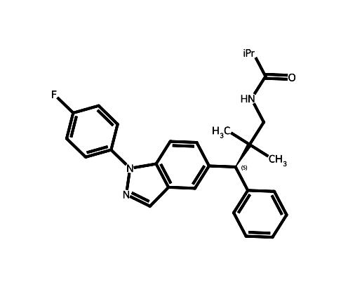 CC(C)C(=O)NCC(C)(C)[C@@H](c1ccccc1)c1ccc2c(cnn2-c2ccc(F)cc2)c1